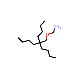 CCCCC(CCCC)(CCCC)COCN